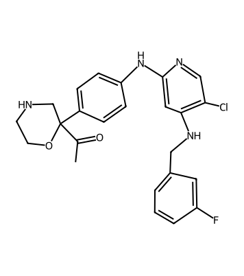 CC(=O)C1(c2ccc(Nc3cc(NCc4cccc(F)c4)c(Cl)cn3)cc2)CNCCO1